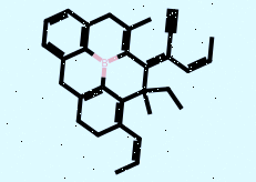 C#CC(/C=C\C)=C1\C2=C(C)Cc3cccc4c3B2C2=C(CCC(/C=C\C)=C2C1(C)CC)C4